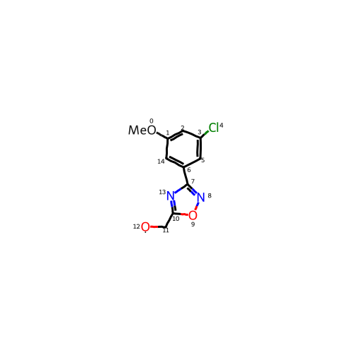 COc1cc(Cl)cc(-c2noc(C[O])n2)c1